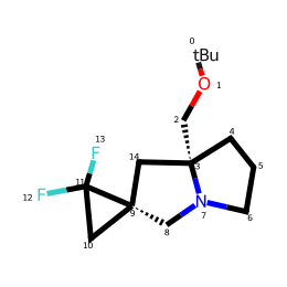 CC(C)(C)OC[C@]12CCCN1C[C@@]1(CC1(F)F)C2